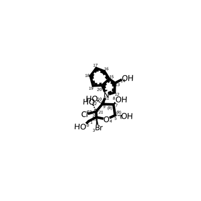 OC[C@@]1(Br)O[C@@H](O)[C@H](O)[C@](O)(n2cc(O)c3ccccc32)[C@]1(O)Cl